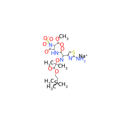 COC(=O)C1C(NC(=O)C(=NOC(C)(C)C(=O)OCC[Si](C)(C)C)c2csc(N)n2)C(=O)N1S(=O)(=O)[O-].[Na+]